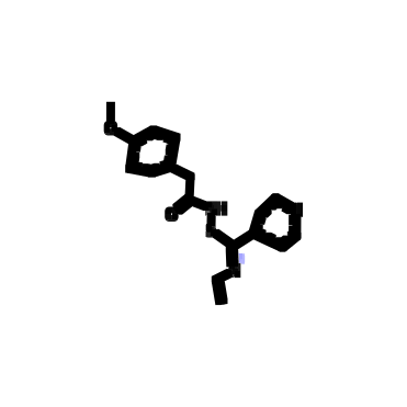 C=C/N=C(\SNC(=O)Cc1ccc(OC)cc1)c1ccncc1